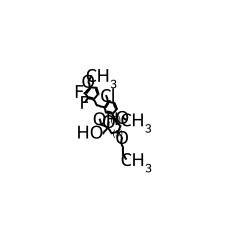 CCCCO[C@H]1CC(CO)(CO)O[C@@](OC)(c2ccc(Cl)c(Cc3ccc(OC)c(F)c3F)c2)C1